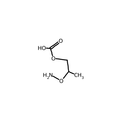 CC(COC(=O)O)ON